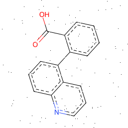 O=C(O)c1ccccc1-c1cccc2ncccc12